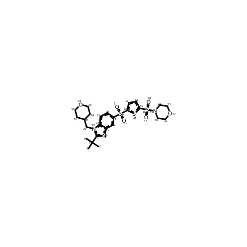 CC(C)(C)c1nc2cc(S(=O)(=O)c3ccc(S(=O)(=O)N4CCOCC4)s3)ccc2n1CC1CCOCC1